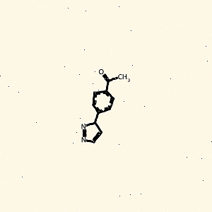 CC(=O)c1ccc(C2C=CN=N2)cc1